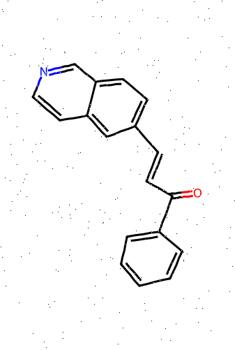 O=C(C=Cc1ccc2cnccc2c1)c1ccccc1